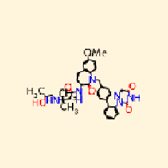 COc1ccc2c(c1)CC[C@@H](NC(=O)CC(C)(C)NC[C@@H](C)O)C(=O)N2Cc1ccc(-c2ccccc2-n2ncc(=O)[nH]c2=O)cc1